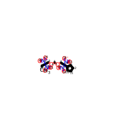 CCC(COCOCC(C1CCCC1)([N+](=O)[O-])[N+](=O)[O-])([N+](=O)[O-])[N+](=O)[O-]